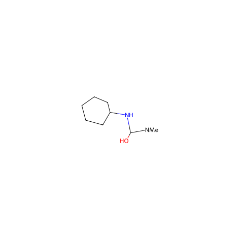 CNC(O)NC1CCCCC1